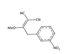 COC(Cc1cccc([N+](=O)[O-])c1)=C(C#N)C#N